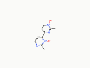 Cc1nc(-c2ccnc(C)[n+]2[O-])cc[n+]1[O-]